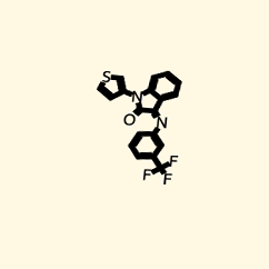 O=C1C(=Nc2cccc(C(F)(F)F)c2)c2ccccc2N1c1ccsc1